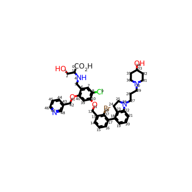 O=C(O)C(CO)NCc1cc(Cl)c(OCc2cccc(-c3cccc4c3CCN4CCCN3CCC(O)CC3)c2Br)cc1OCc1cccnc1